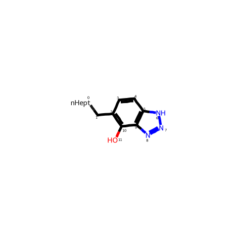 CCCCCCCCc1ccc2[nH]nnc2c1O